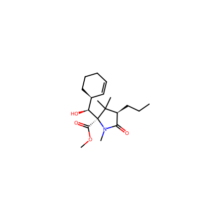 CCC[C@H]1C(=O)N(C)[C@@](C(=O)OC)([C@@H](O)[C@@H]2C=CCCC2)C1(C)C